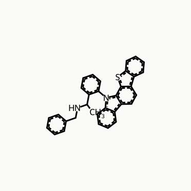 CC(NCc1ccccc1)c1ccccc1-n1c2ccccc2c2ccc3c4ccccc4sc3c21